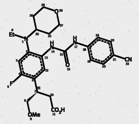 CCN(c1cc(F)c([C@@H](COC)CC(=O)O)cc1NC(=O)Nc1ccc(C#N)cc1)C1CCOCC1